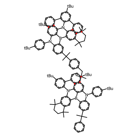 CC(C)(C)c1ccc(-c2cc(C(C)(C)C)ccc2N2c3cc4c(cc3B3c5cc(C(C)(C)c6ccccc6)ccc5N(c5ccc(C(C)(C)C)cc5)c5cc(C(C)(C)Cc6ccc(C(C)(C)c7ccc8c(c7)B7c9cc%10c(cc9N(c9c(-c%11ccccc%11)cc(C(C)(C)C)cc9-c9ccccc9)c9cc(C(C)(C)C)cc(c97)N8c7ccc(C(C)(C)C)cc7)C(C)(C)CCC%10(C)C)cc6)cc2c53)C(C)(C)CCC4(C)C)cc1